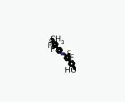 COc1ccc(-c2ccc(/C=C/c3ccc(C4CCC(CO)CC4)c(F)c3F)cc2)c(F)c1F